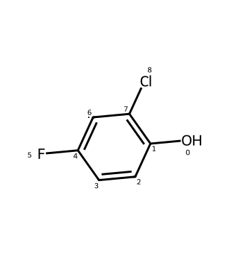 Oc1ccc(F)[c]c1Cl